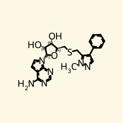 Cn1ncc(-c2ccccc2)c1CSC[C@H]1O[C@@H](n2ccc3c(N)ncnc32)[C@H](O)[C@@H]1O